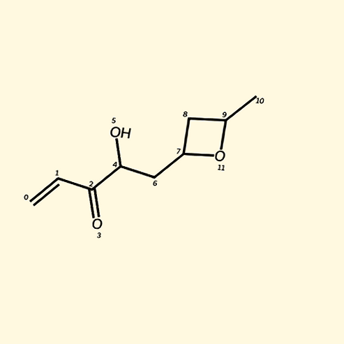 C=CC(=O)C(O)CC1CC(C)O1